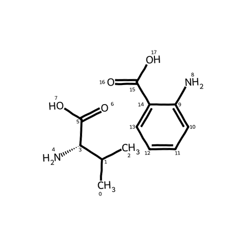 CC(C)[C@H](N)C(=O)O.Nc1ccccc1C(=O)O